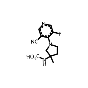 CC1(NC(=O)O)CCN(c2c(F)cncc2C#N)C1